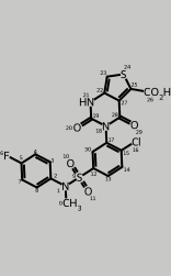 CN(c1ccc(F)cc1)S(=O)(=O)c1ccc(Cl)c(-n2c(=O)[nH]c3csc(C(=O)O)c3c2=O)c1